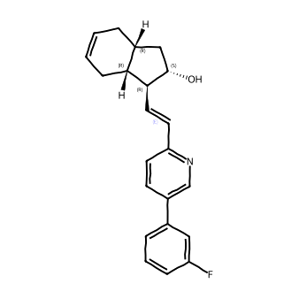 O[C@H]1C[C@H]2CC=CC[C@H]2[C@@H]1/C=C/c1ccc(-c2cccc(F)c2)cn1